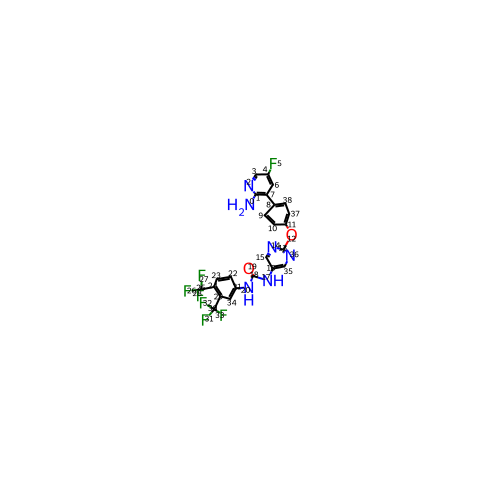 Nc1ncc(F)cc1-c1ccc(Oc2ncc(NC(=O)Nc3ccc(C(F)(F)F)c(C(F)(F)F)c3)cn2)cc1